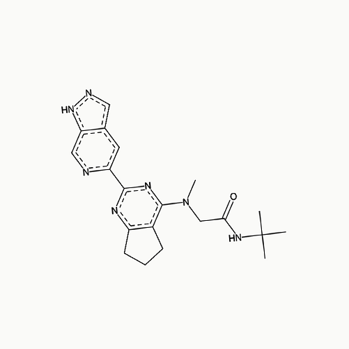 CN(CC(=O)NC(C)(C)C)c1nc(-c2cc3cn[nH]c3cn2)nc2c1CCC2